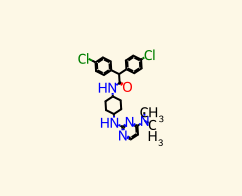 CN(C)c1ccnc(NC2CCC(NC(=O)C(c3ccc(Cl)cc3)c3ccc(Cl)cc3)CC2)n1